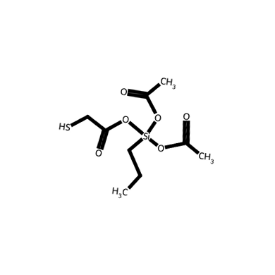 CCC[Si](OC(C)=O)(OC(C)=O)OC(=O)CS